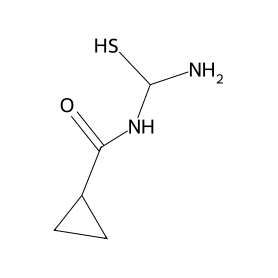 NC(S)NC(=O)C1CC1